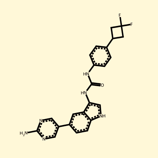 Nc1ncc(-c2ccc3[nH]cc(NC(=O)Nc4ccc(C5CC(F)(F)C5)cc4)c3c2)cn1